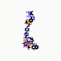 Cc1[nH]nc(Nc2ncnc3cc(OCCCN4CCN(c5cnc(C(=O)N6CC[C@H]7CC[C@@H](C(=O)N[C@@H]8CCCc9ccccc98)N7C(=O)[C@@H](NC(=O)[C@H](C)N(C)C(=O)OC(C)(C)C)C6)cn5)CC4)c(S(=O)(=O)C(C)(C)C)cc23)c1C